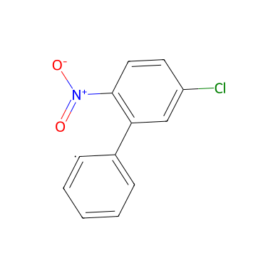 O=[N+]([O-])c1ccc(Cl)cc1-c1[c]cccc1